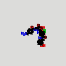 NC[C@H]1CC[C@H](C(=O)NC[C@H](NC(=O)c2ccc(C(=O)NCc3cccc(O)c3)cc2Cl)C(=O)O)CC1